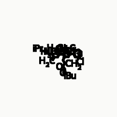 C=C(CCNCC(C)C)C/C(C(=C)C)=C(C(=C/C(C)C1=CC(Cl)=CC=C=C1C)\CC(=C)C(=O)COC(C)CC)/C(C)=N\C